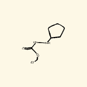 CCOC(=O)NNC1CCCC1